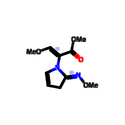 CO/C=C(/C(=O)OC)N1C=CC/C1=N\OC